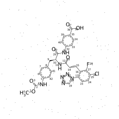 COC(=O)Nc1ccc(C[C@H](NC(=O)/C=C/c2c(-n3cnnn3)ccc(Cl)c2F)C(=O)Nc2ccc(C(=O)O)cc2)cc1